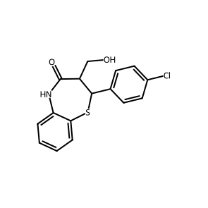 O=C1Nc2ccccc2SC(c2ccc(Cl)cc2)C1CO